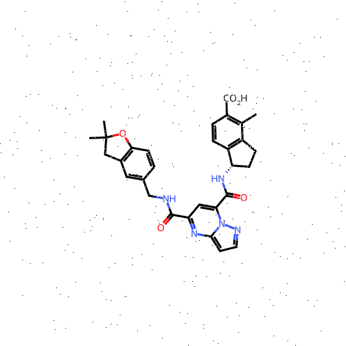 Cc1c(C(=O)O)ccc2c1CC[C@@H]2NC(=O)c1cc(C(=O)NCc2ccc3c(c2)CC(C)(C)O3)nc2ccnn12